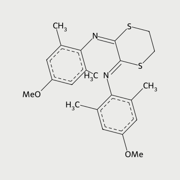 COc1cc(C)c(/N=C2\SCCS\C2=N\c2c(C)cc(OC)cc2C)c(C)c1